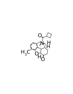 Cc1ccc2c3c1O[C@@H]1C(=O)CC[C@@H]4[C@H](C2)N(C(=O)C2CCC2)CC[C@@]314